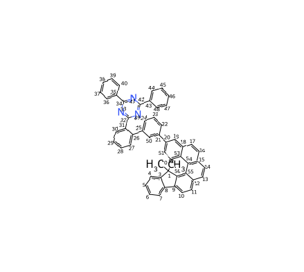 CC1(C)c2ccccc2-c2ccc3ccc4ccc5cc(-c6cccc(-c7ccccc7-c7nc(-c8ccccc8)nc(-c8ccccc8)n7)c6)ccc5c4c3c21